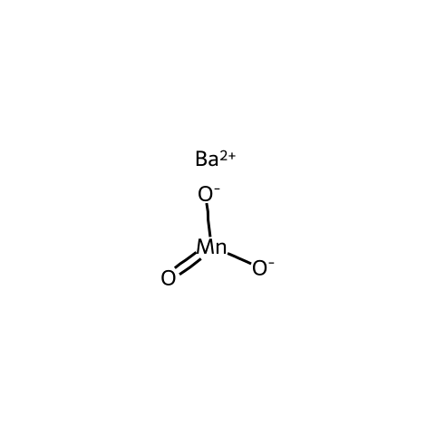 [Ba+2].[O]=[Mn]([O-])[O-]